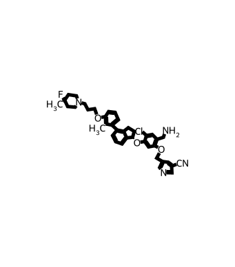 Cc1c(OCCCN2CCC(C)(F)CC2)cccc1-c1cccc2c1CC[C@@H]2Oc1cc(OCc2cncc(C#N)c2)c(CN)cc1Cl